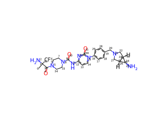 CC(N)(C(=O)N1CCN(C(=O)Nc2ccn(-c3ccc(CN4C[C@@H]5[C@@H](N)[C@@H]5C4)cc3)c(=O)n2)CC1)C(F)(F)F